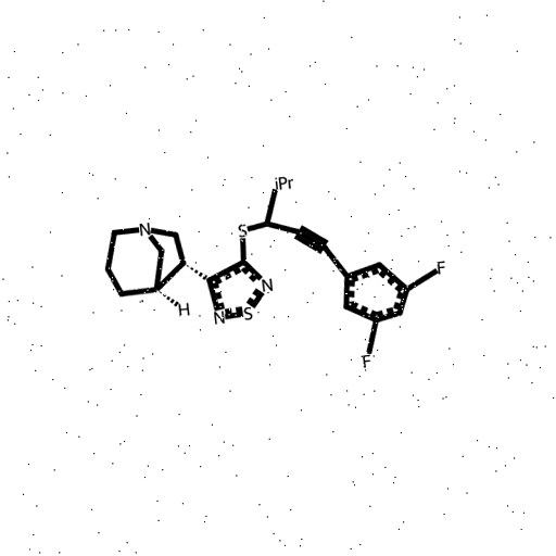 CC(C)C(C#Cc1cc(F)cc(F)c1)Sc1nsnc1[C@H]1CN2CCC[C@H]1C2